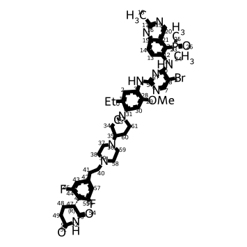 CCc1cc(Nc2ncc(Br)c(Nc3ccc4nc(C)ncc4c3P(C)(C)=O)n2)c(OC)cc1N1CCC(N2CCN(CCc3cc(F)c([C@H]4CCC(=O)NC4=O)c(F)c3)CC2)CC1